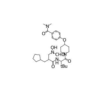 CN(C)C(=O)c1ccc(OC2CCN(C(=O)C(NC(=O)C(CC3CCCC3)CN(O)C=O)C(C)(C)C)CC2)cc1